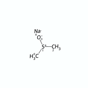 C[S+](C)[O-].[Na]